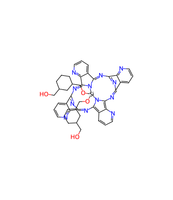 OCC1CCCC(CO[Si]2(OCC3CCCC(CO)C3)n3c4c5cccnc5c3/N=C3N=C(/N=c5/c6cccnc6/c(n52)=N/C2=NC(=N\4)/c4ncccc42)c2ncccc2\3)C1